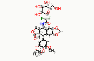 COc1cc([C@@H]2c3cc4c(cc3[C@@H](NC(=O)C(F)(F)[C@H]3O[C@H](CO)[C@@H](O)[C@H](O)[C@H]3O)C3COC(=O)[C@@H]32)OCO4)cc(OC)c1OC